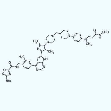 Cc1cc(-c2ncnc3[nH]c(-c4nn(C)c(C5=CCN(CC6CCN(c7ccc(N(C)CCC(=O)NC=O)cc7)CC6)CC5)c4C)cc23)ccc1CNC(=O)c1nc(C(C)(C)C)no1